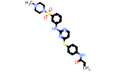 C=CC(=O)Nc1ccc(Sc2ccnc(Nc3cccc(S(=O)(=O)N4CCN(C)CC4)c3)n2)cc1